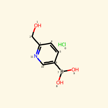 Cl.OCc1ccc(B(O)O)cn1